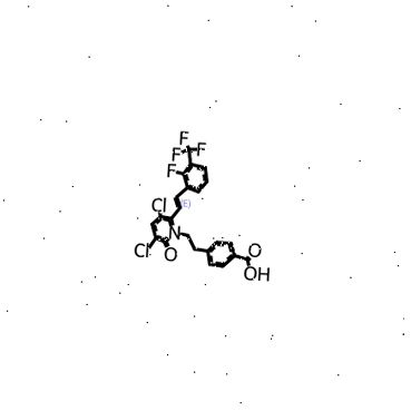 O=C(O)c1ccc(CCn2c(/C=C/c3cccc(C(F)(F)F)c3F)c(Cl)cc(Cl)c2=O)cc1